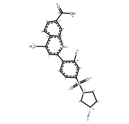 Cc1cc(-c2ccc(S(=O)(=O)N3CC[C@H](F)C3)cc2F)nc2cc(C(=O)O)ccc12